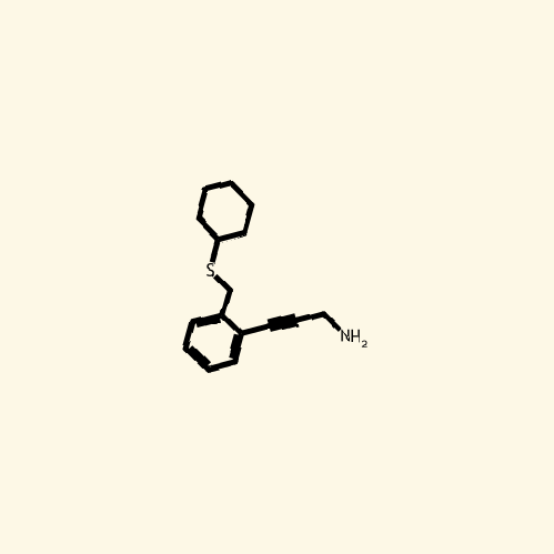 NCC#Cc1ccccc1CSC1CCCCC1